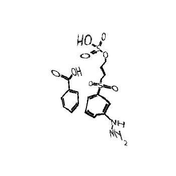 NNc1cccc(S(=O)(=O)CCOS(=O)(=O)O)c1.O=C(O)c1ccccc1